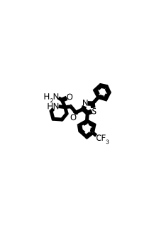 NC(=O)C1([CH]C(=O)c2nc(-c3ccccc3)sc2-c2cccc(C(F)(F)F)c2)CCCCN1